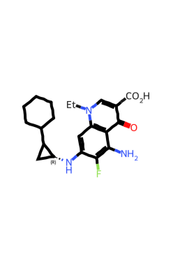 CCn1cc(C(=O)O)c(=O)c2c(N)c(F)c(N[C@@H]3CC3C3CCCCC3)cc21